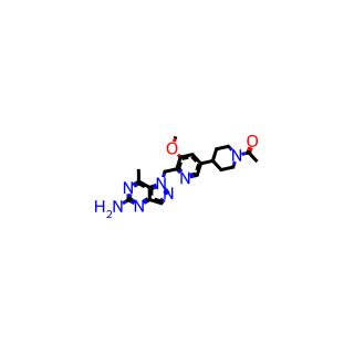 COc1cc(C2CCN(C(C)=O)CC2)cnc1Cn1ncc2nc(N)nc(C)c21